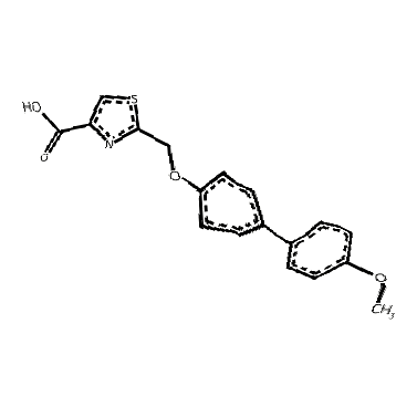 COc1ccc(-c2ccc(OCc3nc(C(=O)O)cs3)cc2)cc1